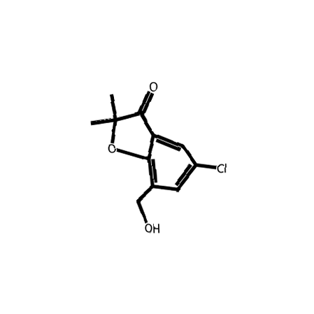 CC1(C)Oc2c(CO)cc(Cl)cc2C1=O